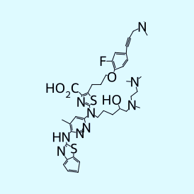 Cc1cc(N(CCCC(O)CN(C)CCN(C)C)c2nc(C(=O)O)c(CCCOc3ccc(C#CCN(C)C)cc3F)s2)nnc1Nc1nc2ccccc2s1